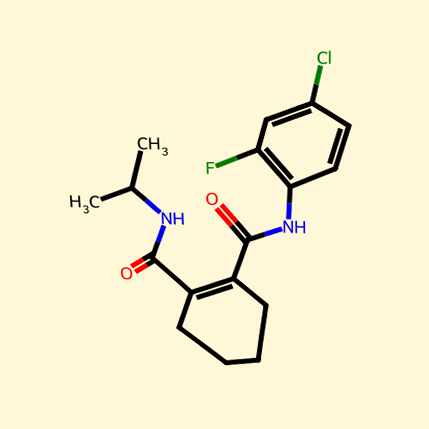 CC(C)NC(=O)C1=C(C(=O)Nc2ccc(Cl)cc2F)CCCC1